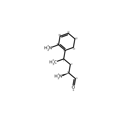 CC(C[C@H](N)C=O)C1=C(N)C=CCC1